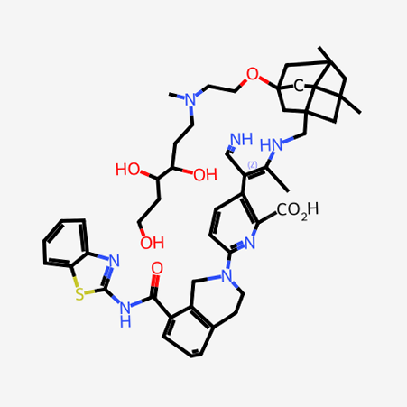 C/C(NCC12CC3(OCCN(C)CCC(O)C(O)CCO)CC4(C)CC(C)(C1)C42C3)=C(/C=N)c1ccc(N2CCc3cccc(C(=O)Nc4nc5ccccc5s4)c3C2)nc1C(=O)O